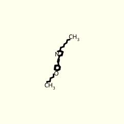 CCCCCCCc1ccc(C#Cc2ccc(OCCCCCC)cc2)nc1